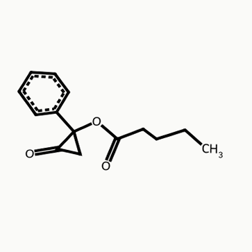 CCCCC(=O)OC1(c2ccccc2)CC1=O